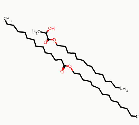 CCCCCCCCCCCCCCOC(=O)C(C)O.CCCCCCCCCCCCCCOC(=O)CCCCCCCCCCCCC